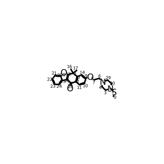 CSN1CCN(CCOc2ccc3c(c2)C(C)(C)c2oc4ccccc4c2C3=O)CC1